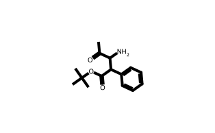 CC(=O)C(N)C(C(=O)OC(C)(C)C)c1ccccc1